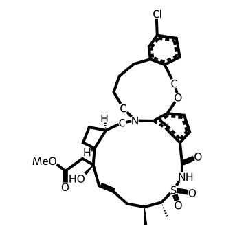 COC(=O)C[C@@]1(O)/C=C/C[C@H](C)[C@@H](C)S(=O)(=O)NC(=O)c2ccc3c(c2)N(CCCCc2cc(Cl)ccc2CO3)C[C@@H]2CC[C@H]21